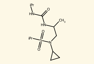 CC(C)NC(=O)NC(C)CN(C1CC1)S(=O)(=O)C(C)C